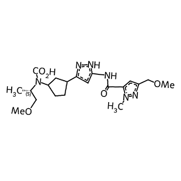 COCc1cc(C(=O)Nc2cc(C3CCC(N(C(=O)O)[C@@H](C)COC)C3)n[nH]2)n(C)n1